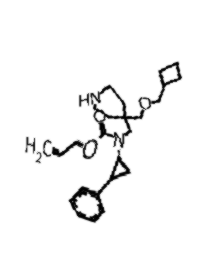 C=CCOC(=O)N(CC1(COCC2CCC2)CCNCC1)[C@@H]1CC1c1ccccc1